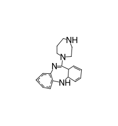 C1=CC2Nc3ccccc3N=C(N3CCCNCC3)C2C=C1